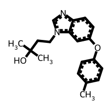 Cc1ccc(Oc2ccc3ncn(CCC(C)(C)O)c3c2)cc1